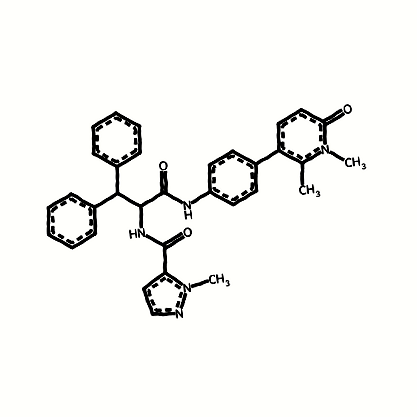 Cc1c(-c2ccc(NC(=O)C(NC(=O)c3ccnn3C)C(c3ccccc3)c3ccccc3)cc2)ccc(=O)n1C